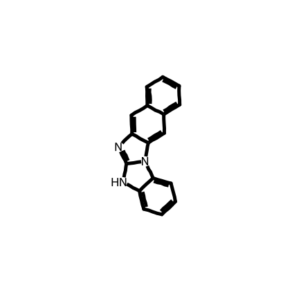 c1ccc2cc3c(cc2c1)nc1[nH]c2ccccc2n13